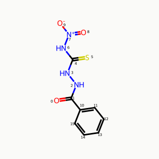 O=C(NNC(=S)N[N+](=O)[O-])c1ccccc1